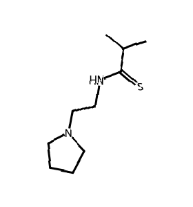 CC(C)C(=S)NCCN1CCCC1